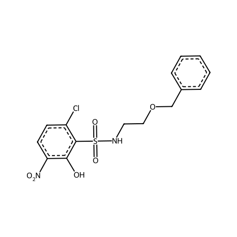 O=[N+]([O-])c1ccc(Cl)c(S(=O)(=O)NCCOCc2ccccc2)c1O